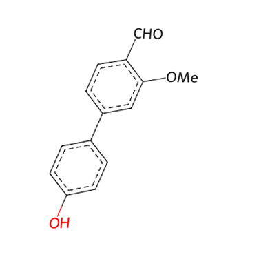 COc1cc(-c2ccc(O)cc2)ccc1C=O